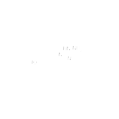 NNc1nc(-c2ccccc2)cc(-c2ccc(O)cc2)n1